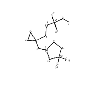 CCC(C)(C)OCC1(CN2CCC(F)(F)C2)CC1